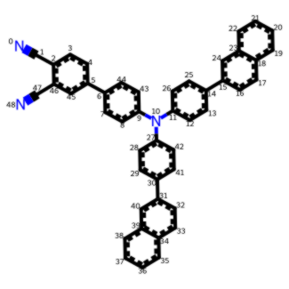 N#Cc1ccc(-c2ccc(N(c3ccc(-c4ccc5ccccc5c4)cc3)c3ccc(-c4ccc5ccccc5c4)cc3)cc2)cc1C#N